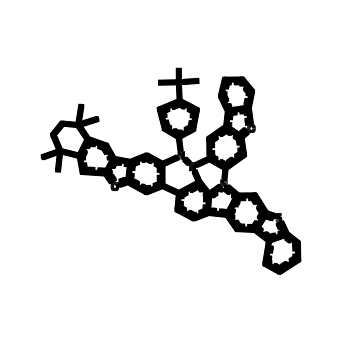 CC(C)(C)c1ccc(N2B3c4cc5c(cc4-n4c6cc7sc8ccccc8c7cc6c6ccc(c3c64)-c3cc4oc6cc7c(cc6c4cc32)C(C)(C)CCC7(C)C)oc2ccccc25)cc1